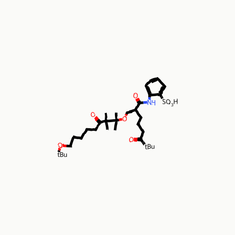 CC(C)(C)OCCCCCC(=O)C(C)(C)C(C)(C)OCC(CCCC(=O)C(C)(C)C)C(=O)Nc1ccccc1S(=O)(=O)O